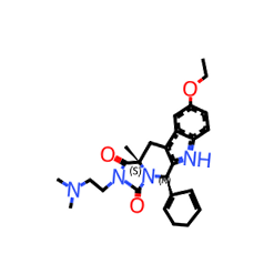 CCOc1ccc2[nH]c3c(c2c1)C[C@@]1(C)C(=O)N(CCN(C)C)C(=O)N1[C@@H]3C1=CCCC=C1